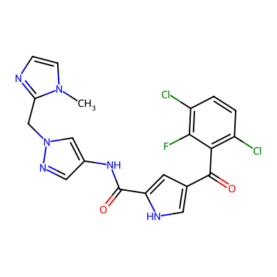 Cn1ccnc1Cn1cc(NC(=O)c2cc(C(=O)c3c(Cl)ccc(Cl)c3F)c[nH]2)cn1